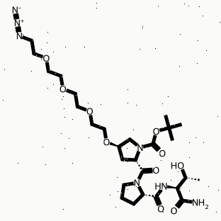 C[C@@H](O)[C@H](NC(=O)[C@@H]1CCCN1C(=O)[C@@H]1C[C@@H](OCCOCCOCCOCCN=[N+]=[N-])CN1C(=O)OC(C)(C)C)C(N)=O